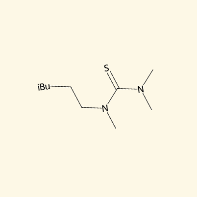 CCC(C)CCN(C)C(=S)N(C)C